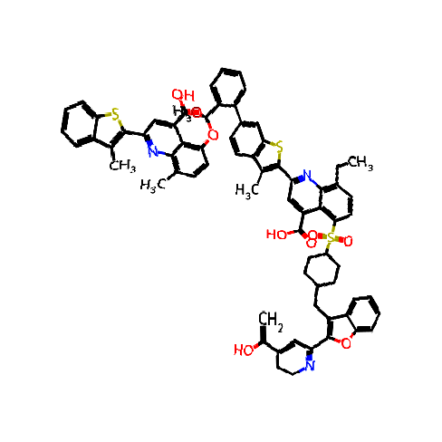 C=C(O)C1=CC(c2oc3ccccc3c2CC2CCC(S(=O)(=O)c3ccc(CC)c4nc(-c5sc6cc(-c7ccccc7[C@H](C)Oc7ccc(C)c8nc(-c9sc%10ccccc%10c9C)cc(C(=O)O)c78)ccc6c5C)cc(C(=O)O)c34)CC2)=NCC1